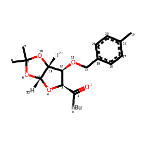 CCCCC(=O)[C@H]1O[C@@H]2OC(C)(C)O[C@@H]2[C@H]1OCc1ccc(C)cc1